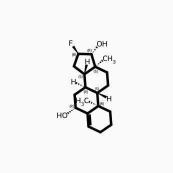 C[C@]12CC[C@H]3[C@@H](C[C@@H](O)C4=CCCC[C@@]43C)[C@@H]1C[C@@H](F)[C@@H]2O